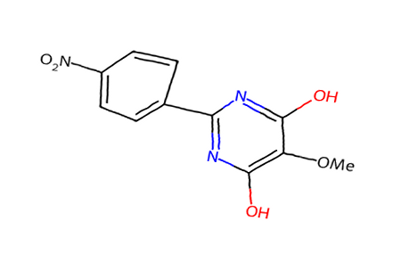 COc1c(O)nc(-c2ccc([N+](=O)[O-])cc2)nc1O